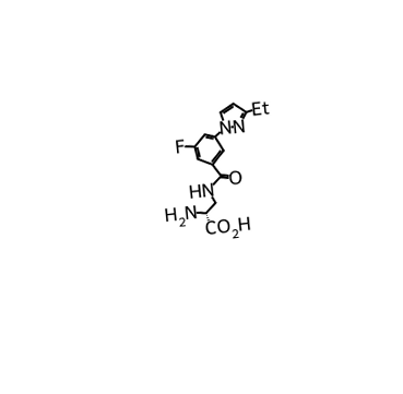 CCc1ccn(-c2cc(F)cc(C(=O)NC[C@@H](N)C(=O)O)c2)n1